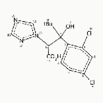 CC(C)(C)C(O)(c1ccc(Cl)cc1Cl)C(C(=O)O)n1cncn1